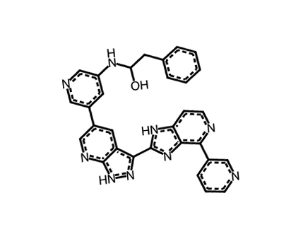 OC(Cc1ccccc1)Nc1cncc(-c2cnc3[nH]nc(-c4nc5c(-c6cccnc6)nccc5[nH]4)c3c2)c1